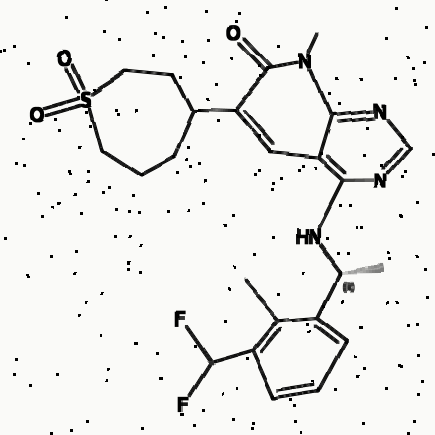 Cc1c(C(F)F)cccc1[C@@H](C)Nc1ncnc2c1cc(C1CCCS(=O)(=O)CC1)c(=O)n2C